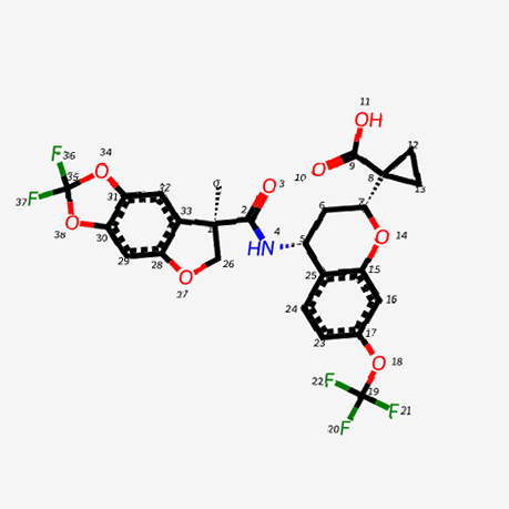 C[C@]1(C(=O)N[C@@H]2C[C@H](C3(C(=O)O)CC3)Oc3cc(OC(F)(F)F)ccc32)COc2cc3c(cc21)OC(F)(F)O3